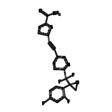 NC(=O)c1ccc(C#Cc2ccc(C(F)(F)C3(c4ccc(F)cc4F)CO3)nc2)s1